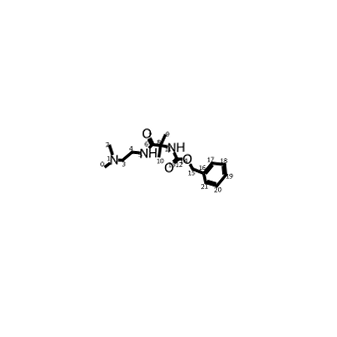 CN(C)CCNC(=O)C(C)(C)NC(=O)OCc1ccccc1